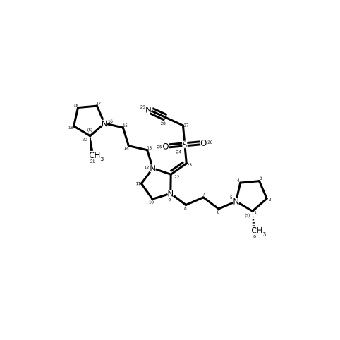 C[C@H]1CCCN1CCCN1CCN(CCCN2CCC[C@@H]2C)C1=CS(=O)(=O)CC#N